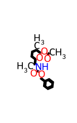 CC(=O)OC1OC(C(C)NC(=O)OCc2ccccc2)CCC1C